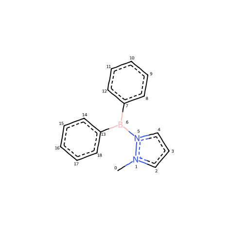 C[n+]1cccn1B(c1ccccc1)c1ccccc1